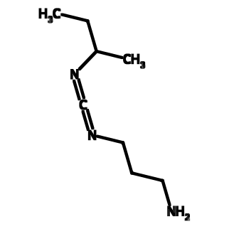 CCC(C)N=C=NCCCN